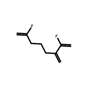 C=C(F)CCCC(=C)C(=C)F